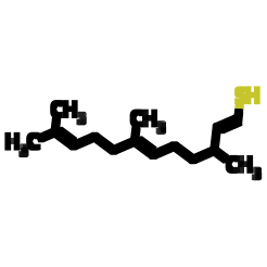 CC(C)=CCC/C(C)=C/CCC(C)/C=C/S